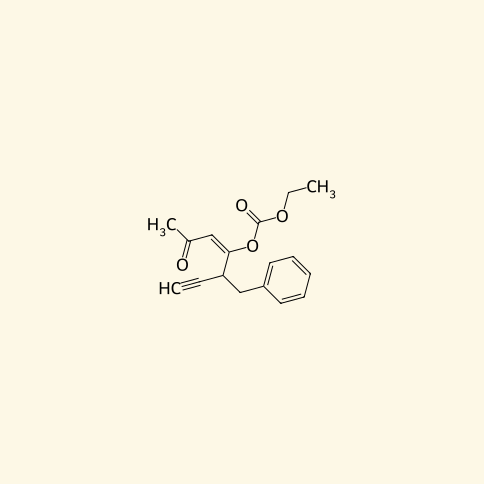 C#CC(Cc1ccccc1)/C(=C\C(C)=O)OC(=O)OCC